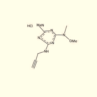 C#CCNc1nc(NC)nc(N(C)OC)n1.Cl